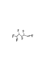 FC=CC(F)C(F)C(F)C(F)F